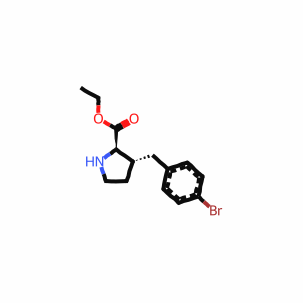 CCOC(=O)[C@@H]1NCC[C@H]1Cc1ccc(Br)cc1